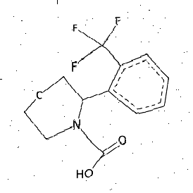 O=C(O)N1CCCCC1c1ccccc1C(F)(F)F